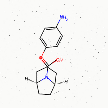 CC1(Oc2ccc(N)cc2)C[C@H]2CC[C@@H](C1)N2C(=O)O